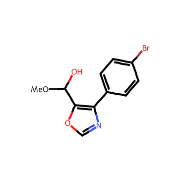 COC(O)c1ocnc1-c1ccc(Br)cc1